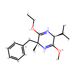 CCOC1=N[C@@H](C(C)C)C(OC)=N[C@]1(C)Cc1ccccc1